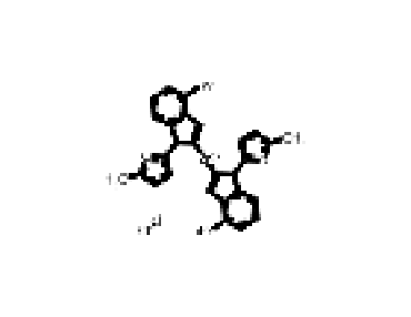 Cc1ccc(C2[C]([Zr+2][C]3=Cc4c(C(C)C)cccc4C3c3ccc(C)o3)=Cc3c(C(C)C)cccc32)o1.[Cl-].[Cl-]